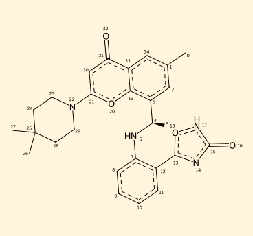 Cc1cc([C@@H](C)Nc2ccccc2-c2nc(=O)[nH]o2)c2oc(N3CCC(C)(C)CC3)cc(=O)c2c1